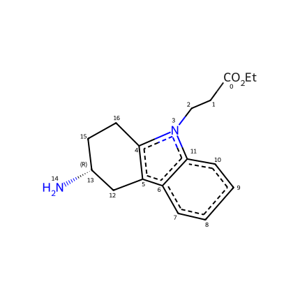 CCOC(=O)CCn1c2c(c3ccccc31)C[C@H](N)CC2